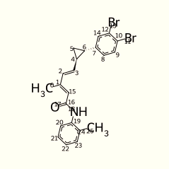 CC(C=C[C@H]1C[C@@H]1c1ccc(Br)c(Br)c1)=CC(=O)Nc1ccccc1C